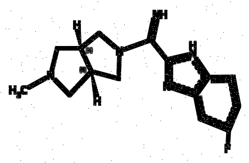 CN1C[C@@H]2CN(C(=N)c3nc4cc(F)ccc4[nH]3)C[C@@H]2C1